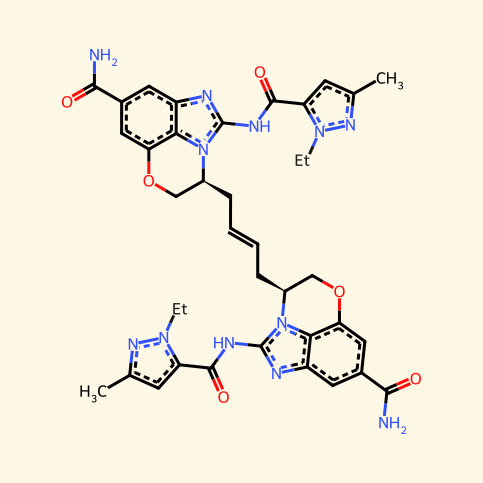 CCn1nc(C)cc1C(=O)Nc1nc2cc(C(N)=O)cc3c2n1[C@@H](C/C=C/C[C@H]1COc2cc(C(N)=O)cc4nc(NC(=O)c5cc(C)nn5CC)n1c24)CO3